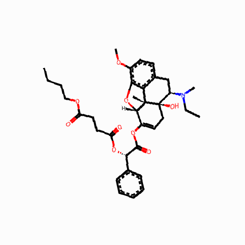 CCCCOC(=O)CCC(=O)O[C@H](C(=O)OC1=CC[C@@]2(O)[C@H](N(C)CC)Cc3ccc(OC)c4c3[C@@]2(C)[C@H]1O4)c1ccccc1